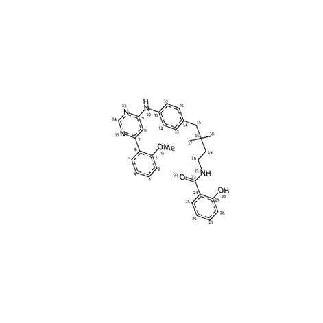 COc1ccccc1-c1cc(Nc2ccc(CC(C)(C)CCNC(=O)c3ccccc3O)cc2)ncn1